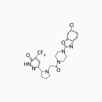 O=C(CN1CCCC1c1cc(C(F)(F)F)c(=O)[nH]n1)N1CCN(c2nc3ccc(Cl)cc3o2)CC1